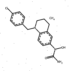 C.NC(=O)N(O)c1ccc2c(c1)CCCN2Cc1ccc(Cl)cc1